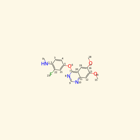 CNc1ccc(Oc2ncnc3cc(OC)c(OC)cc23)cc1F